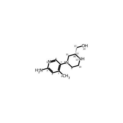 Cc1cc(N)ncc1N1CCN[C@@H](CO)C1